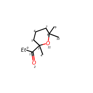 CCC(=O)C1(C)CCCC(C)(C)O1